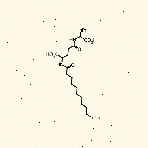 CCCCCCCCCCCCCCCCCCCC(=O)NC(CCC(=O)NC(CCC)C(=O)O)C(=O)O